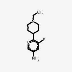 Nc1cnc(C2CCN(CC(F)(F)F)CC2)c(F)c1